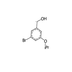 CC(C)Oc1cc(Br)cc([CH]O)c1